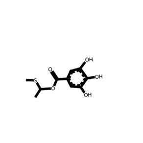 CSC(C)OC(=O)c1cc(O)c(O)c(O)c1